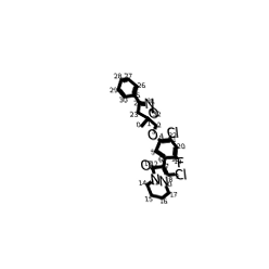 CC1(COc2cc(-c3c(Cl)n4n(c3=O)CCCC4)c(F)cc2Cl)CC(c2ccccc2)=NO1